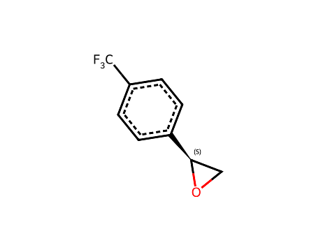 FC(F)(F)c1ccc([C@H]2CO2)cc1